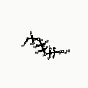 O=S(=O)(O)C(F)(F)C(F)(F)OC(F)(F)C(F)(F)OC(F)(F)CF